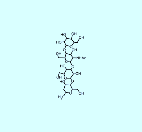 CC(=O)NC1C(OC2C(O)C(CO)OC(OC3C(O)C[C@H](C)OC3CO)C2O)OC(CO)C(OC2OC(CO)C(O)C(O)C2O)C1O